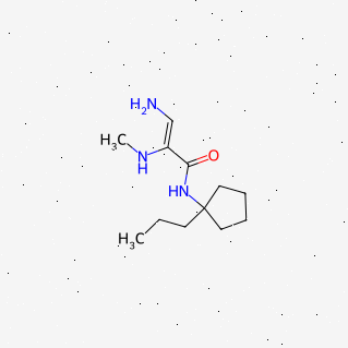 CCCC1(NC(=O)/C(=C/N)NC)CCCC1